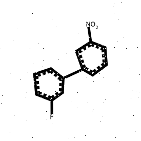 O=[N+]([O-])c1cccc(-c2[c]ccc(F)c2)c1